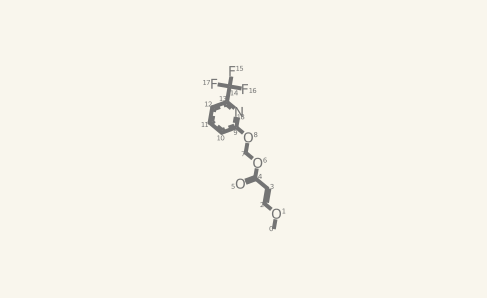 COC=CC(=O)OCOc1cccc(C(F)(F)F)n1